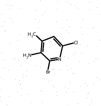 Cc1cc(Cl)nc(Br)c1N